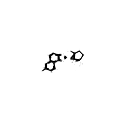 CC(C)(C)C12CC[C@H](C1)N(C(=O)O)[C@@H]2c1nc2ccc3cc(Br)ccc3c2[nH]1